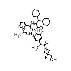 CC(C)n1nccc1C(=O)N[C@H](C(=O)Nc1ccc([C@H](C)C(=O)N2CC(F)(CO)C2)cc1F)C(C1CCCCC1)C1CCCCC1